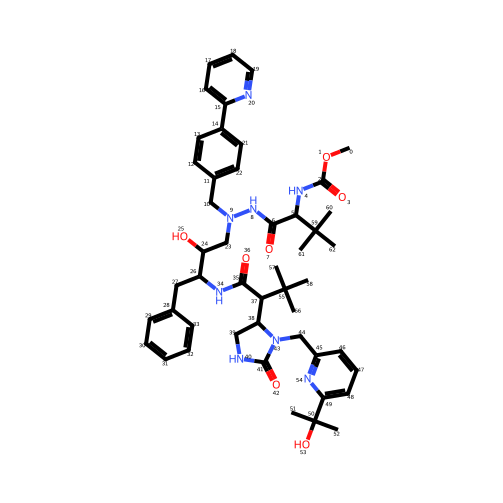 COC(=O)NC(C(=O)NN(Cc1ccc(-c2ccccn2)cc1)CC(O)C(Cc1ccccc1)NC(=O)C(C1CNC(=O)N1Cc1cccc(C(C)(C)O)n1)C(C)(C)C)C(C)(C)C